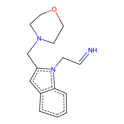 N=CCn1c(CN2CCOCC2)cc2ccccc21